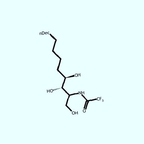 CCCCCCCCCCCCCC[C@@H](O)[C@@H](O)C(CO)NC(=O)C(F)(F)F